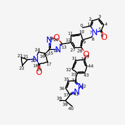 Cc1cccc(=O)n1Cc1ccc(-c2nc([C@H]3CC(=O)N(C4CC4)C3)no2)cc1Oc1ccc(-c2ccc(C(C)C)nn2)cc1